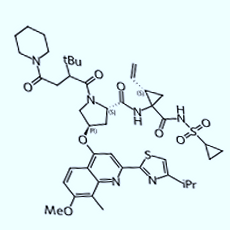 C=C[C@@H]1CC1(NC(=O)[C@@H]1C[C@@H](Oc2cc(-c3nc(C(C)C)cs3)nc3c(C)c(OC)ccc23)CN1C(=O)C(CC(=O)N1CCCCC1)C(C)(C)C)C(=O)NS(=O)(=O)C1CC1